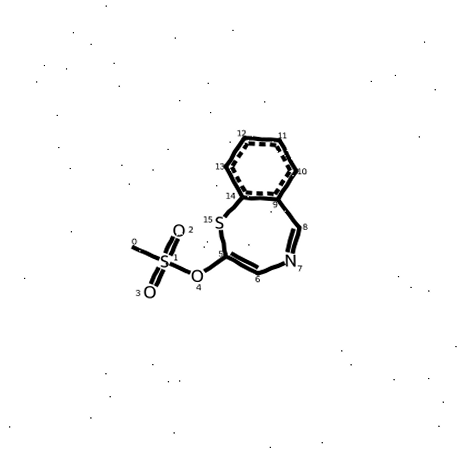 CS(=O)(=O)OC1=CN=Cc2ccccc2S1